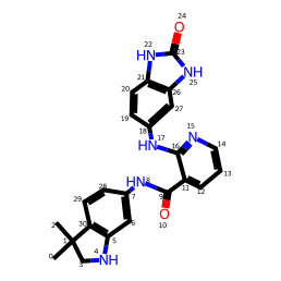 CC1(C)CNc2cc(NC(=O)c3cccnc3Nc3ccc4[nH]c(=O)[nH]c4c3)ccc21